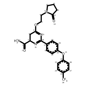 NC(=O)C1CC(OCCN2CCCC2=O)=NC(c2ccc(Oc3ccc(C(F)(F)F)cc3)cc2)=N1